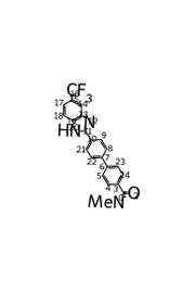 CNC(=O)c1ccc(-c2ccc(-c3nc4cc(C(F)(F)F)ccc4[nH]3)cc2)cc1